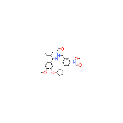 CCC1CC(C=O)N(Cc2cccc(N(C=O)OC)c2)N=C1c1ccc(OC)c(OC2CCCC2)c1